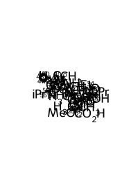 C=C(C(=O)N[C@@H](C)C(=O)N(C)[C@@H](C)C(=O)N[C@H](C(=O)N(C)[C@H](C(=O)O)[C@@H](C)OC)[C@H](OC(=O)[C@@H](NC(=O)CC)[C@H](O)C(C)C)C(C)C)N(C)C(=O)[C@@H](Cc1ccccc1)OC(=O)[C@H](CC(C)C)NC(C)=O